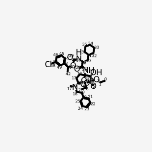 CCOP(=O)(OCC)C(O)C(O)(CCC(=O)N(C)CCc1ccccc1)NC(=O)[C@H](CC1CCCCC1)NC(=O)OC(C)c1cccc(Cl)c1